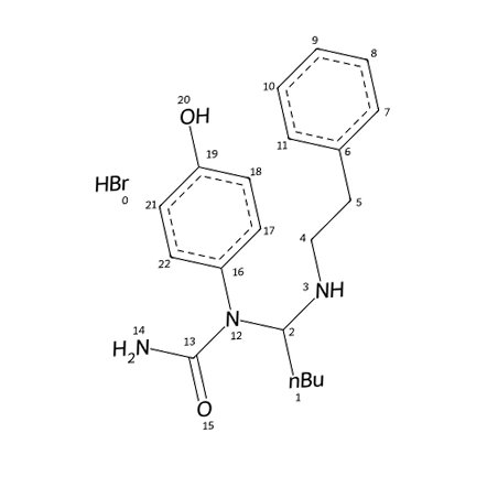 Br.CCCCC(NCCc1ccccc1)N(C(N)=O)c1ccc(O)cc1